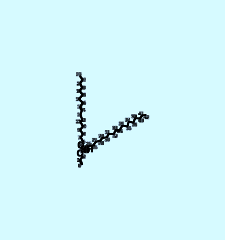 C=CCO[SiH](OCCCCCCCCC=CCCCCCCCC)OCCCCCCCCC=CCCCCCCCC